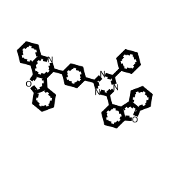 c1ccc(-c2nc(-c3ccc(-c4nc5ccccc5c5oc6ccccc6c45)cc3)nc(-c3cccc4oc5ccccc5c34)n2)cc1